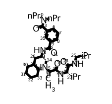 CCCN(CCC)C(=O)c1cccc(C(=O)N[C@H](CN[C@@H](C)C(=O)N[C@H](C(=O)NCC(C)C)C(C)C)CC2CCCCC2)c1